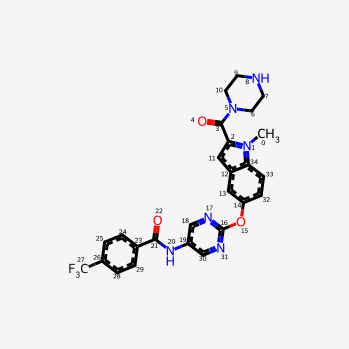 Cn1c(C(=O)N2CCNCC2)cc2cc(Oc3ncc(NC(=O)c4ccc(C(F)(F)F)cc4)cn3)ccc21